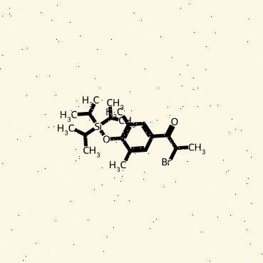 Cc1cc(C(=O)C(C)Br)cc(C)c1O[Si](C(C)C)(C(C)C)C(C)C